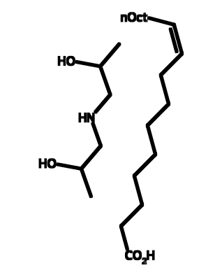 CC(O)CNCC(C)O.CCCCCCCC/C=C\CCCCCCCC(=O)O